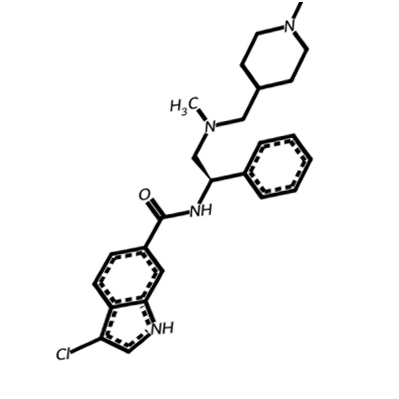 CC(C)N1CCC(CN(C)C[C@H](NC(=O)c2ccc3c(Cl)c[nH]c3c2)c2ccccc2)CC1